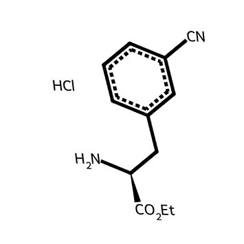 CCOC(=O)[C@@H](N)Cc1cccc(C#N)c1.Cl